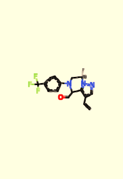 C=Cc1cnn2c1C(C=O)N(c1ccc(C(F)(F)F)cc1)C[C@@H]2C